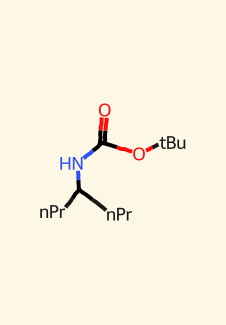 CCCC(CCC)NC(=O)OC(C)(C)C